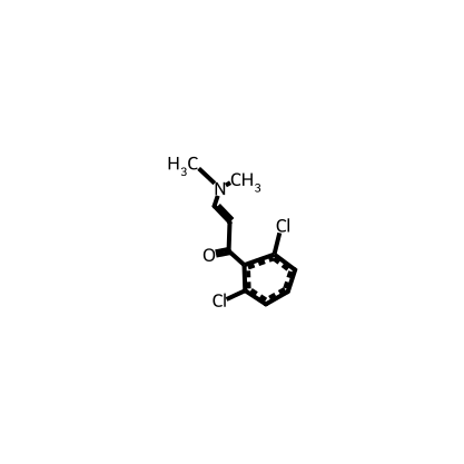 CN(C)C=CC(=O)c1c(Cl)cccc1Cl